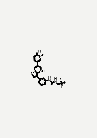 CN1C=C(C2=Cn3ncc(-c4cccc(NC(=O)NCC(F)(F)F)c4)c3NC2)C=CC1O